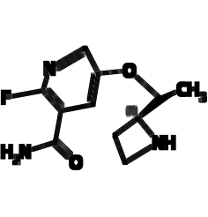 CC(Oc1cnc(F)c(C(N)=O)c1)[C@@H]1CCN1